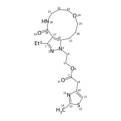 CCc1nn(CCOC(=O)Cc2csc(C)n2)c2c1C(=O)NCCCOCCC2